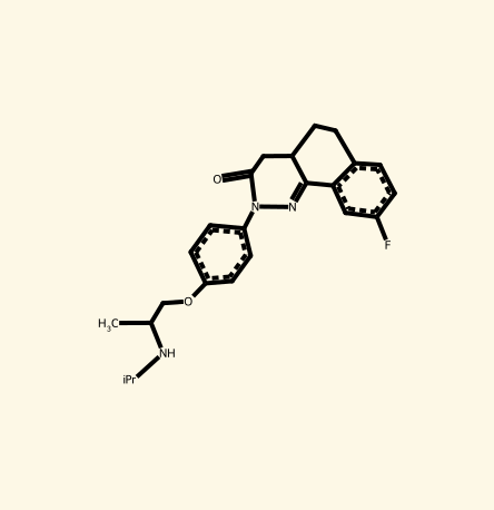 CC(C)NC(C)COc1ccc(N2N=C3c4cc(F)ccc4CCC3CC2=O)cc1